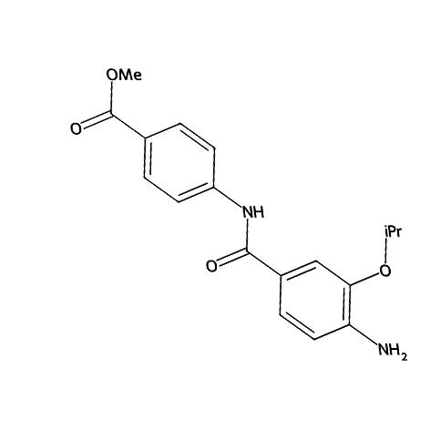 COC(=O)c1ccc(NC(=O)c2ccc(N)c(OC(C)C)c2)cc1